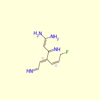 N=C/C=C(\C=C/CF)C(=N)C=C(N)N